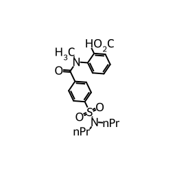 CCCN(CCC)S(=O)(=O)c1ccc(C(=O)N(C)c2ccccc2C(=O)O)cc1